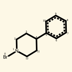 BrN1CCC(c2ccccc2)CC1